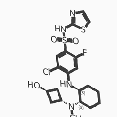 CN([C@H]1C[C@H](O)C1)[C@H]1CCCC[C@@H]1Nc1cc(F)c(S(=O)(=O)Nc2nccs2)cc1Cl